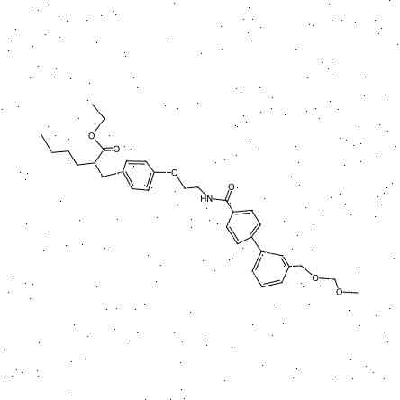 CCCCC(Cc1ccc(OCCNC(=O)c2ccc(-c3cccc(COCOC)c3)cc2)cc1)C(=O)OCC